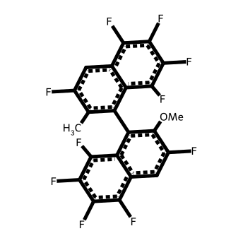 COc1c(F)cc2c(F)c(F)c(F)c(F)c2c1-c1c(C)c(F)cc2c(F)c(F)c(F)c(F)c12